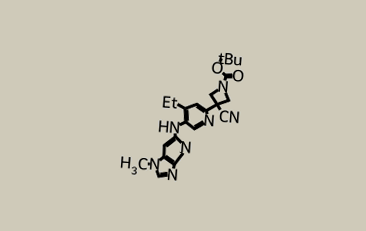 CCc1cc(C2(C#N)CN(C(=O)OC(C)(C)C)C2)ncc1Nc1cc2c(cn1)ncn2C